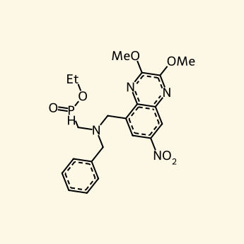 CCO[PH](=O)CN(Cc1ccccc1)Cc1cc([N+](=O)[O-])cc2nc(OC)c(OC)nc12